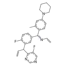 C=C/N=C(/c1ccc(F)c(C(C=C)c2ncncc2F)c1)c1ccc(N2CCCCC2)cc1C